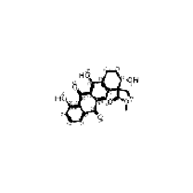 CCC1(C(=O)OC)c2cc3c(c(O)c2CC[C@@H]1O)C(=O)c1c(O)cccc1C3=O